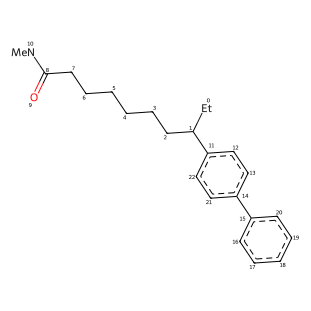 CCC(CCCCCCC(=O)NC)c1ccc(-c2ccccc2)cc1